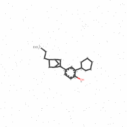 CCOC(=O)CCC1CC2CC1CC2c1ccc(O)c(C2CCCCC2)c1